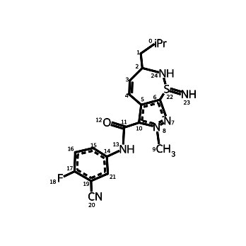 CC(C)CC1C=Cc2c(nn(C)c2C(=O)Nc2ccc(F)c(C#N)c2)S(=N)N1